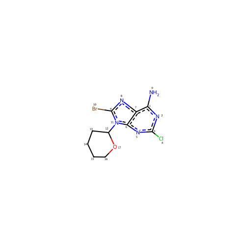 Nc1nc(Cl)nc2c1nc(Br)n2C1CCCCO1